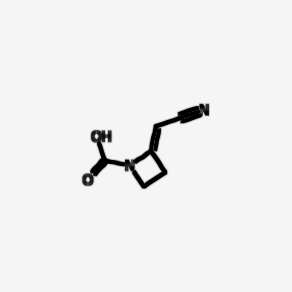 N#CC=C1CCN1C(=O)O